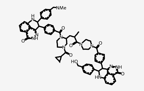 CNCc1ccc(C2Nc3cccc4c(=O)[nH]nc(c34)C2c2ccc(C(=O)N3CCN(C(=O)C4CC4)CC3CC(C)C(=O)N3CCN(C(=O)c4ccc(C5c6n[nH]c(=O)c7cccc(c67)NC5c5ccc(CO)cc5)cc4)CC3)cc2)cc1